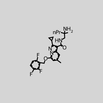 CCCC(C)(N)CNC(=O)c1c(C2CC2)nn2c(OCc3c(F)ccc(F)c3F)cc(C)cc12